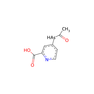 CC(=O)[AsH]c1ccnc(C(=O)O)c1